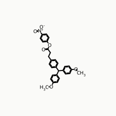 COc1ccc(C(c2ccc(CCC(=O)Oc3ccc([N+](=O)[O-])cc3)cc2)c2ccc(OC)cc2)cc1